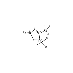 CC(C)(C)C1=CC(=S)CC1C(C)(C)C